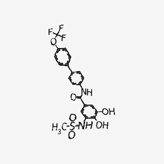 CS(=O)(=O)Nc1cc(C(=O)Nc2ccc(-c3ccc(OC(F)(F)F)cc3)cc2)cc(O)c1O